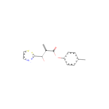 C=C(C(=O)Oc1ccc(C)cc1)C(O)c1nccs1